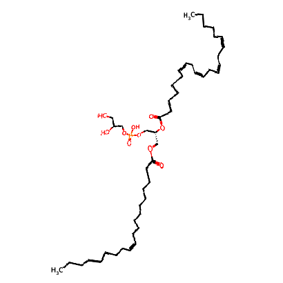 CCCCC/C=C\C/C=C\C/C=C\C/C=C\CCCCCC(=O)O[C@H](COC(=O)CCCCCCCCC/C=C\CCCCCCCC)COP(=O)(O)OC[C@@H](O)CO